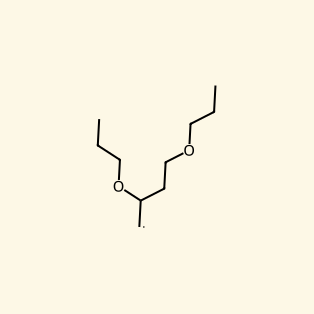 [CH2]C(CCOCCC)OCCC